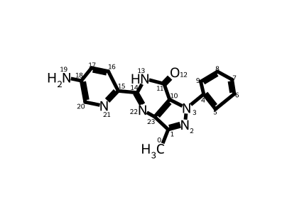 Cc1nn(-c2ccccc2)c2c(=O)[nH]c(-c3ccc(N)cn3)nc12